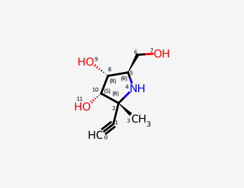 C#C[C@@]1(C)N[C@H](CO)[C@@H](O)[C@H]1O